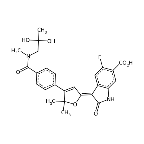 CN(CC(C)(O)O)C(=O)c1ccc(C2=CC(=C3C(=O)Nc4cc(C(=O)O)c(F)cc43)OC2(C)C)cc1